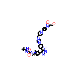 Cc1cc(-c2ncnc3[nH]c4c(c23)CCC(N2CCN(CC3CCN(c5ccc(N(C=O)CCC=O)cc5)CC3)CC2)C4)ccc1[C@@H](C)NC(=O)c1nc(C(C)(C)C)no1